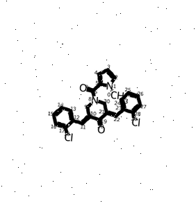 Cn1cccc1C(=O)N1C/C(=C\c2ccccc2Cl)C(=O)/C(=C/c2ccccc2Cl)C1